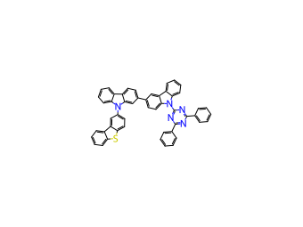 c1ccc(-c2nc(-c3ccccc3)nc(-n3c4ccccc4c4cc(-c5ccc6c7ccccc7n(-c7ccc8sc9ccccc9c8c7)c6c5)ccc43)n2)cc1